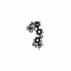 O=S1(=O)CCN2C(=N1)C1(c3ccc(Oc4ccc(F)c(C(F)(F)F)c4)cc3)CCC2CC1